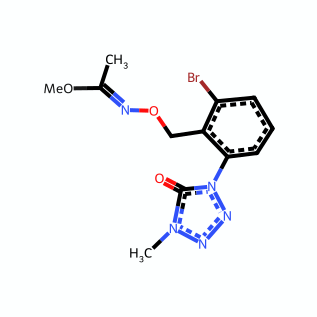 COC(C)=NOCc1c(Br)cccc1-n1nnn(C)c1=O